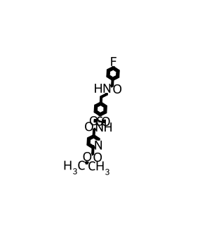 CC(C)OC(=O)c1ccc(C(=O)NS(=O)(=O)c2ccc(CCNC(=O)c3ccc(F)cc3)cc2)cn1